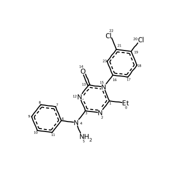 CCc1nc(N(N)c2ccccc2)nc(=O)n1-c1ccc(Cl)c(Cl)c1